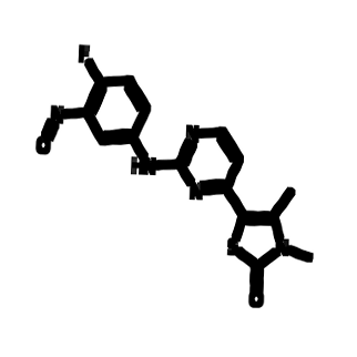 Cc1c(-c2ccnc(Nc3ccc(F)c(N=O)c3)n2)sc(=O)n1C